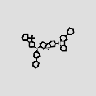 CC1(C)c2ccccc2-c2ccc(N(c3ccc(-c4ccccc4)cc3)c3ccc4c(c3)sc3cc(-n5c6ccccc6c6cc(-c7ccccc7)ccc65)ccc34)cc21